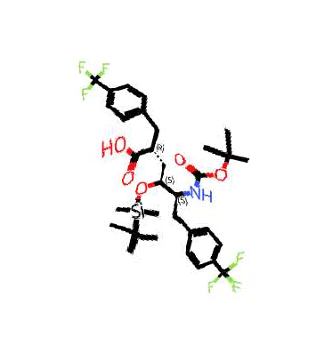 CC(C)(C)OC(=O)N[C@@H](Cc1ccc(C(F)(F)F)cc1)[C@H](C[C@@H](Cc1ccc(C(F)(F)F)cc1)C(=O)O)O[Si](C)(C)C(C)(C)C